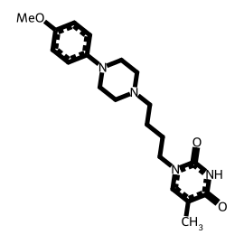 COc1ccc(N2CCN(CCCCn3cc(C)c(=O)[nH]c3=O)CC2)cc1